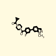 Cn1ncc2ccc(-c3ccc(C(=O)N4CCN(C(=O)C5CC5)CC4)c(F)c3)cc21